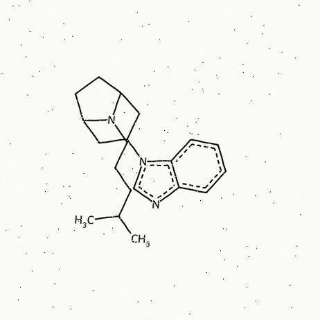 CC(C)CCCN1C2CCC1CC(n1cnc3ccccc31)C2